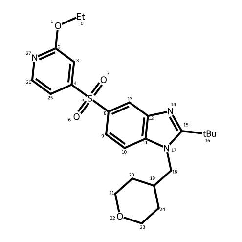 CCOc1cc(S(=O)(=O)c2ccc3c(c2)nc(C(C)(C)C)n3CC2CCOCC2)ccn1